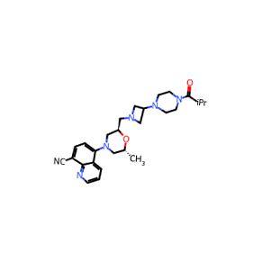 CC(C)C(=O)N1CCN(C2CN(C[C@@H]3CN(c4ccc(C#N)c5ncccc45)C[C@@H](C)O3)C2)CC1